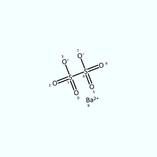 O=S(=O)([O-])S(=O)(=O)[O-].[Ba+2]